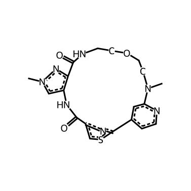 CN1CCOCCNC(=O)c2nn(C)cc2NC(=O)c2csc(n2)-c2ccnc1c2